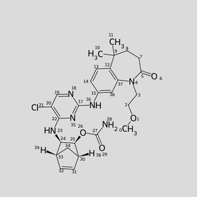 COCCN1C(=O)CCC(C)(C)c2ccc(Nc3ncc(Cl)c(N[C@H]4[C@@H](OC(N)=O)[C@@H]5C=C[C@H]4C5)n3)cc21